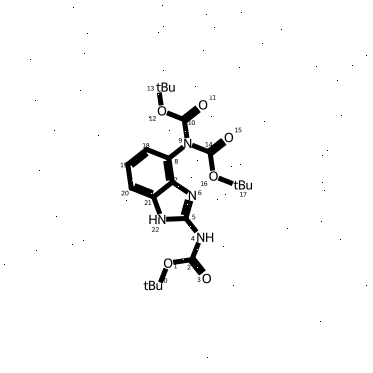 CC(C)(C)OC(=O)Nc1nc2c(N(C(=O)OC(C)(C)C)C(=O)OC(C)(C)C)cccc2[nH]1